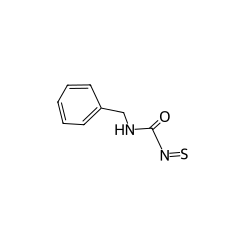 O=C(N=S)NCc1ccccc1